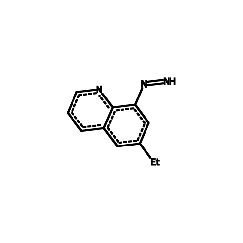 CCc1cc(N=N)c2ncccc2c1